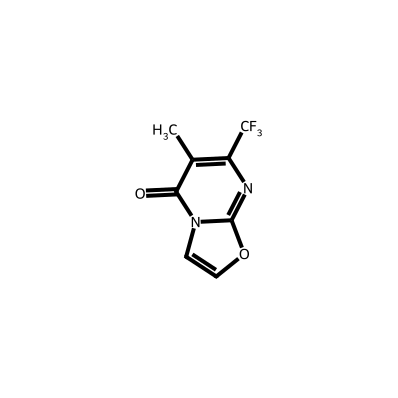 Cc1c(C(F)(F)F)nc2occn2c1=O